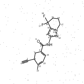 C#CC1CC(C(=O)Nc2cc3n(n2)CCCC3(F)F)=CC=C1C